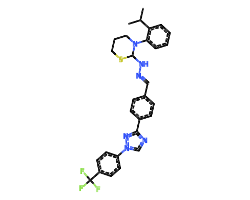 CC(C)c1ccccc1N1CCCSC1N/N=C/c1ccc(-c2ncn(-c3ccc(C(F)(F)F)cc3)n2)cc1